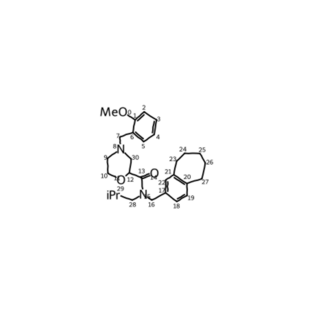 COc1ccccc1CN1CCOC(C(=O)N(Cc2ccc3c(c2)CCCCC3)CC(C)C)C1